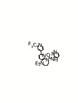 CCN1CCCN(C(=O)Nc2cccnn2)c2nc(-c3ccnc(C(F)(F)F)c3)ccc21